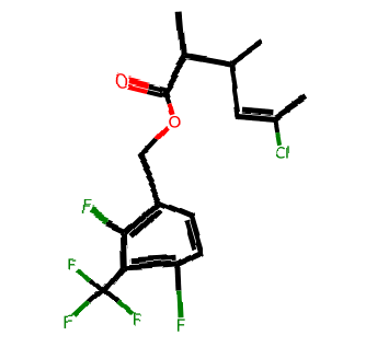 C/C(Cl)=C\C(C)C(C)C(=O)OCc1ccc(F)c(C(F)(F)F)c1F